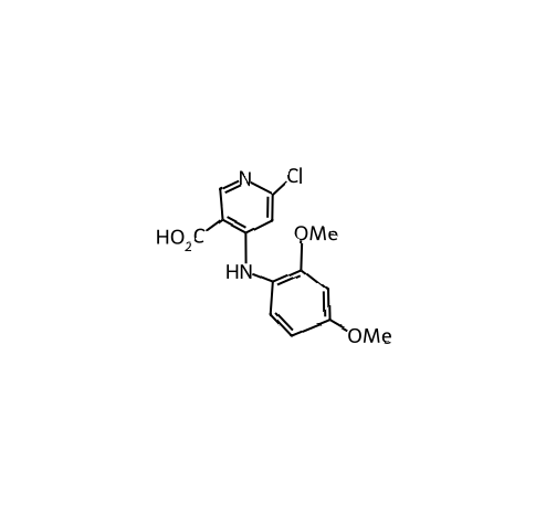 COc1ccc(Nc2cc(Cl)ncc2C(=O)O)c(OC)c1